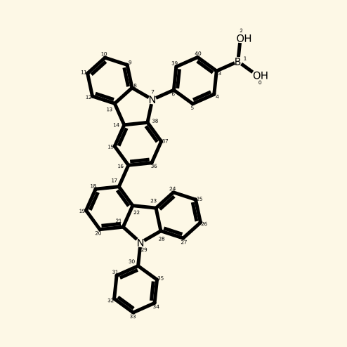 OB(O)c1ccc(-n2c3ccccc3c3cc(-c4cccc5c4c4ccccc4n5-c4ccccc4)ccc32)cc1